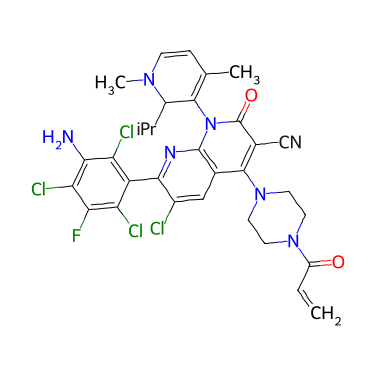 C=CC(=O)N1CCN(c2c(C#N)c(=O)n(C3=C(C)C=CN(C)C3C(C)C)c3nc(-c4c(Cl)c(N)c(Cl)c(F)c4Cl)c(Cl)cc23)CC1